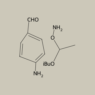 CC(C)COC(C)ON.Nc1ccc(C=O)cc1